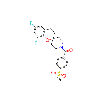 CC(C)S(=O)(=O)c1ccc(C(=O)N2CCC3(CCc4cc(F)cc(F)c4O3)CC2)cc1